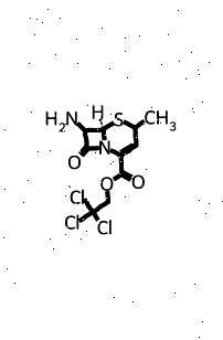 CC1C=C(C(=O)OCC(Cl)(Cl)Cl)N2C(=O)C(N)[C@H]2S1